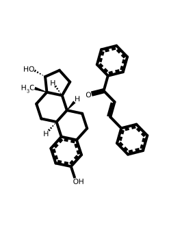 C[C@]12CC[C@@H]3c4ccc(O)cc4CC[C@H]3[C@@H]1CC[C@H]2O.O=C(/C=C/c1ccccc1)c1ccccc1